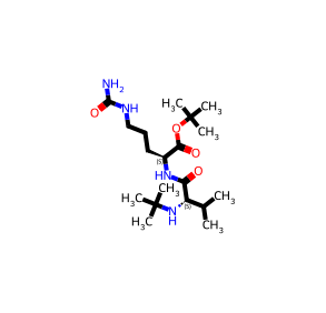 CC(C)[C@H](NC(C)(C)C)C(=O)N[C@@H](CCCNC(N)=O)C(=O)OC(C)(C)C